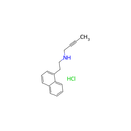 CC#CCNCCc1cccc2ccccc12.Cl